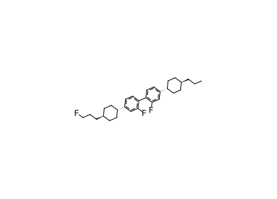 CCC[C@H]1CC[C@H](c2ccc(-c3ccc([C@H]4CC[C@H](CCCF)CC4)cc3F)c(F)c2)CC1